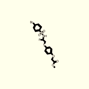 COC(=O)COc1ccc(SCC(F)NS(=O)(=O)c2ccc(Br)cc2)cc1